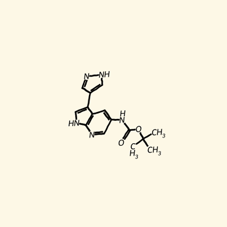 CC(C)(C)OC(=O)Nc1cnc2[nH]cc(-c3cn[nH]c3)c2c1